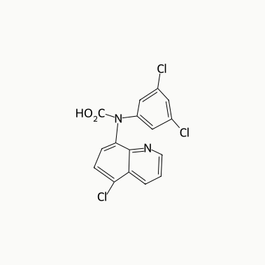 O=C(O)N(c1cc(Cl)cc(Cl)c1)c1ccc(Cl)c2cccnc12